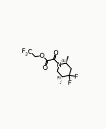 C[C@@H]1CN(C(=O)C(=O)OCC(F)(F)F)[C@@H](C)CC1(F)F